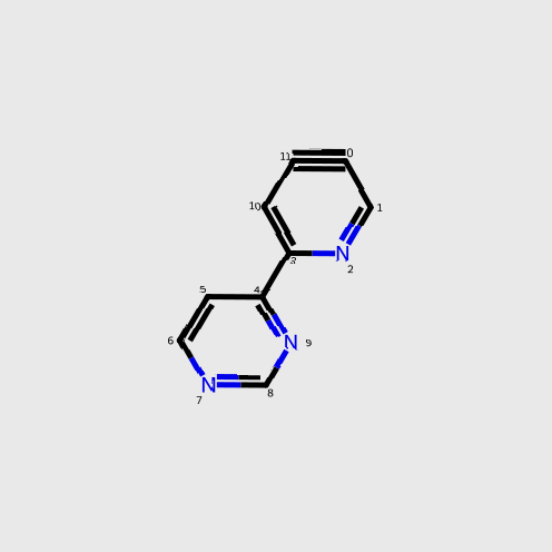 c1cnc(-c2ccncn2)cc#1